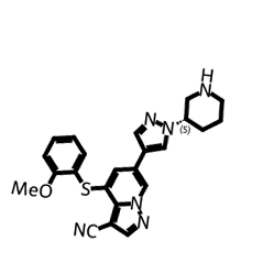 COc1ccccc1Sc1cc(-c2cnn([C@H]3CCCNC3)c2)cn2ncc(C#N)c12